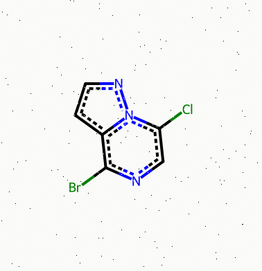 Clc1cnc(Br)c2ccnn12